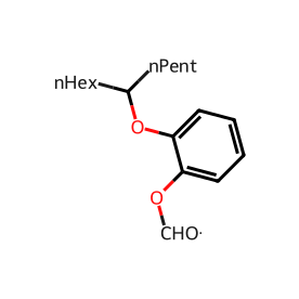 CCCCCCC(CCCCC)Oc1ccccc1O[C]=O